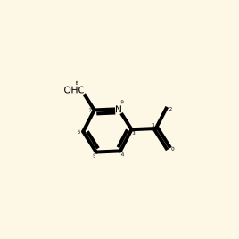 C=C(C)c1cccc(C=O)n1